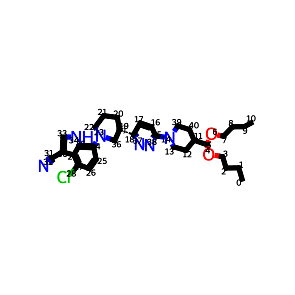 CCCCOC(OCCCC)C1CCN(c2ccc([C@H]3CCCN(c4ccc(Cl)c5c(C#N)c[nH]c45)C3)nn2)CC1